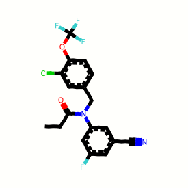 CCC(=O)N(Cc1ccc(OC(F)(F)F)c(Cl)c1)c1cc(F)cc(C#N)c1